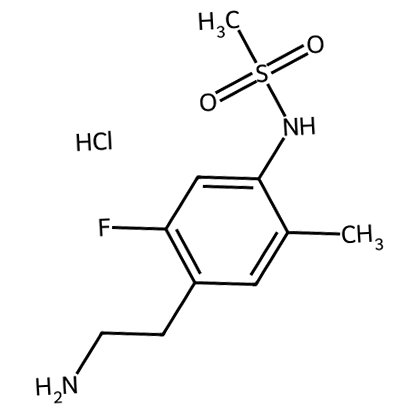 Cc1cc(CCN)c(F)cc1NS(C)(=O)=O.Cl